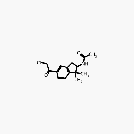 CC(=O)NC1Cc2cc(C(=O)CCl)ccc2C1(C)C